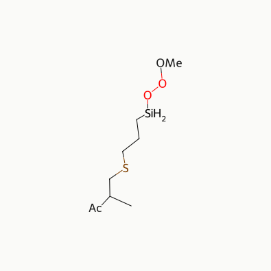 COOO[SiH2]CCCSCC(C)C(C)=O